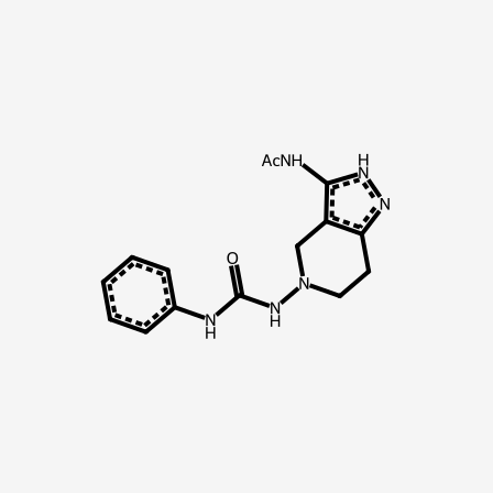 CC(=O)Nc1[nH]nc2c1CN(NC(=O)Nc1ccccc1)CC2